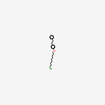 BrCCCCCCCCCOc1ccc(CCc2ccccc2)cc1